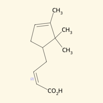 CC1=CCC(C/C=C\C(=O)O)C1(C)C